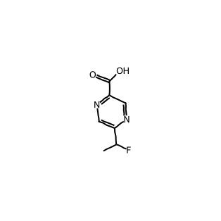 CC(F)c1cnc(C(=O)O)cn1